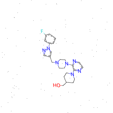 OCC1CCN(c2nccnc2N2CCN(Cc3cnn(-c4cccc(F)c4)c3)CC2)CC1